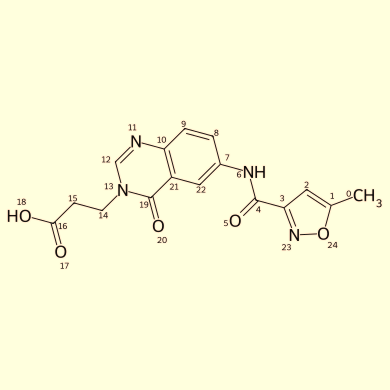 Cc1cc(C(=O)Nc2ccc3ncn(CCC(=O)O)c(=O)c3c2)no1